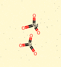 [O]=[Er](=[O])=[O].[O]=[Nd](=[O])=[O]